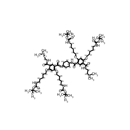 CN(C)CCNC(=O)c1cc(C(=O)NC2CCC(NC(=O)c3cc(C(=O)NCCN(C)C)c(OCCCCCNC(=O)OC(C)(C)C)cc3OCCCCCNC(=O)OC(C)(C)C)CC2)c(OCCCCCNC(=O)OC(C)(C)C)cc1OCCCCCNC(=O)OC(C)(C)C